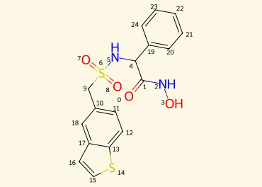 O=C(NO)C(NS(=O)(=O)Cc1ccc2sccc2c1)c1ccccc1